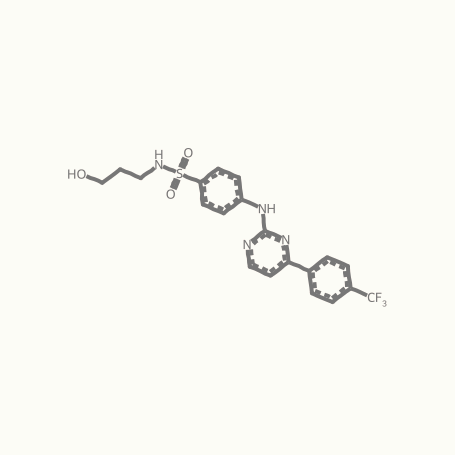 O=S(=O)(NCCCO)c1ccc(Nc2nccc(-c3ccc(C(F)(F)F)cc3)n2)cc1